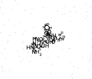 C=NC[C@@]1(c2ccc3n2NCNC3N)O[C@H](COP(=O)(N[C@@H](C)C(=O)OCC(CC)CC)Oc2ccccc2)[C@@H](O)[C@H]1O